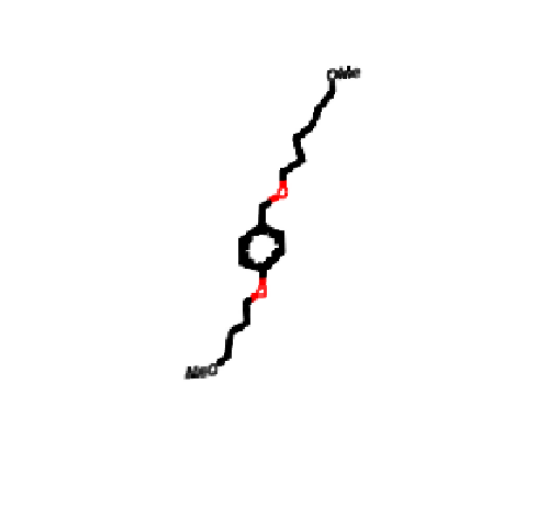 COCCCCCCOCc1ccc(OCCCCOC)cc1